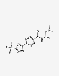 C[C@H](CN(C)C)NC(=O)c1cnc(-c2noc(C(F)(F)F)n2)nc1